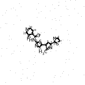 Cn1nc(-c2nccs2)cc1-c1cnc(NC(=O)c2ccncc2F)s1